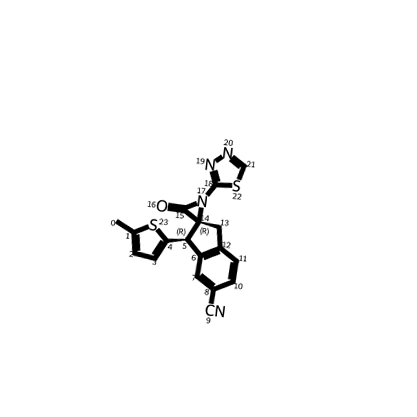 Cc1ccc([C@@H]2c3cc(C#N)ccc3C[C@]23C(=O)N3c2nncs2)s1